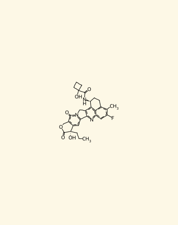 CCC[C@@]1(O)C(=O)OCc2c1cc1n(c2=O)Cc2c-1nc1cc(F)c(C)c3c1c2[C@@H](NC(=O)C1(O)CCC1)CC3